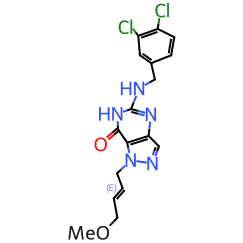 COC/C=C/Cn1ncc2nc(NCc3ccc(Cl)c(Cl)c3)[nH]c(=O)c21